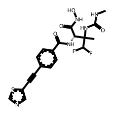 CNC(=O)NC(C)(C(F)F)[C@H](NC(=O)c1ccc(C#Cc2cncs2)cc1)C(=O)NO